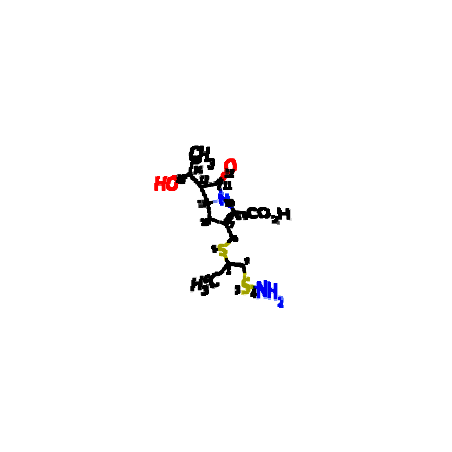 CC(CSN)SCC1=C(C(=O)O)N2C(=O)C(C(C)O)C2C1